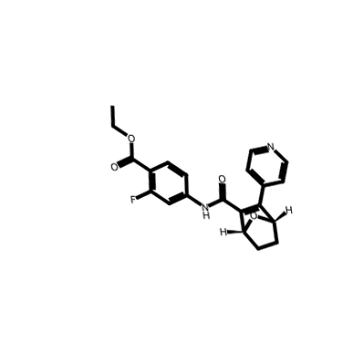 CCOC(=O)c1ccc(NC(=O)C2=C(c3ccncc3)[C@@H]3CC[C@H]2O3)cc1F